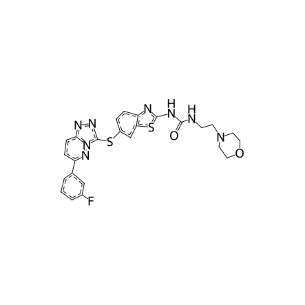 O=C(NCCN1CCOCC1)Nc1nc2ccc(Sc3nnc4ccc(-c5cccc(F)c5)nn34)cc2s1